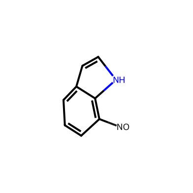 O=Nc1cccc2cc[nH]c12